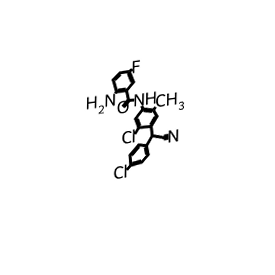 Cc1cc(C(C#N)c2ccc(Cl)cc2)c(Cl)cc1NC(=O)c1cc(F)ccc1N